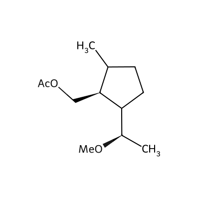 CO[C@H](C)C1CCC(C)[C@@H]1COC(C)=O